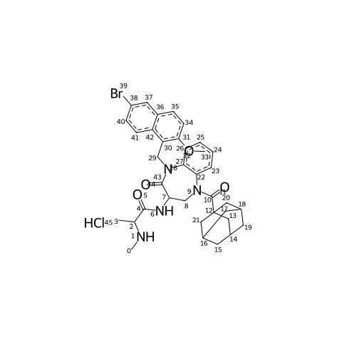 CNC(C)C(=O)NC1CN(C(=O)C23CC4CC(CC(C4)C2)C3)c2ccccc2N(Cc2c(OC)ccc3cc(Br)ccc23)C1=O.Cl